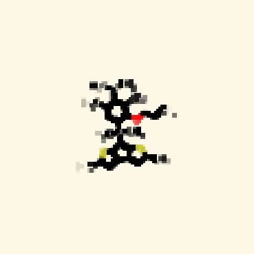 C=CCOc1c([Si](C)(C)C2=C3SC(C)C=C3c3cc(C)sc32)cc(C)c([SiH](C)C)c1C(C)(C)C